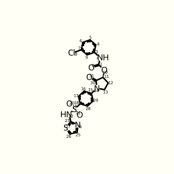 O=C(Nc1cccc(Cl)c1)O[C@H]1CCN(c2ccc(S(=O)(=O)Nc3nccs3)cc2)C1=O